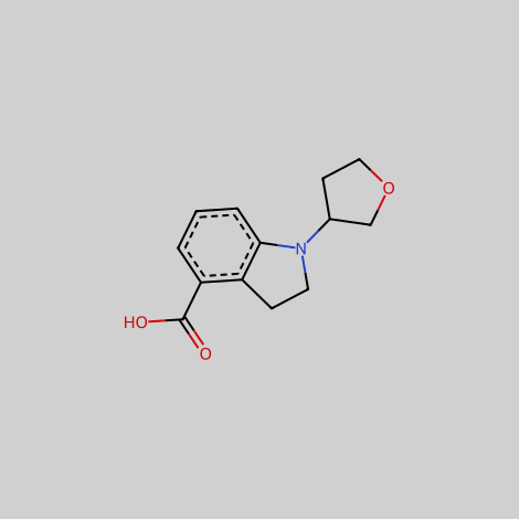 O=C(O)c1cccc2c1CCN2C1CCOC1